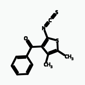 Cc1sc(N=C=S)c(C(=O)c2ccccc2)c1C